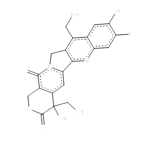 CCC1(O)C(=O)OCc2c1cc1n(c2=O)Cc2c-1nc1cc(F)c(C)cc1c2CN